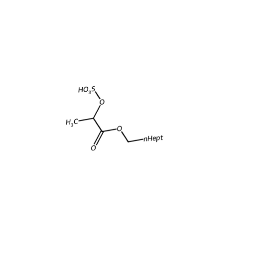 CCCCCCCCOC(=O)C(C)OS(=O)(=O)O